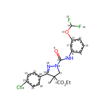 CCOC(=O)C1(C)CN(C(=O)Nc2cccc(OC(F)F)c2)N=C1c1ccc(Cl)cc1